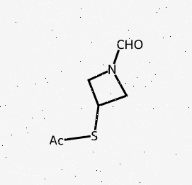 CC(=O)SC1CN(C=O)C1